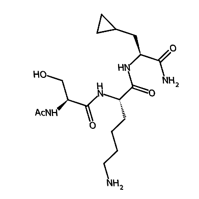 CC(=O)N[C@@H](CO)C(=O)N[C@@H](CCCCN)C(=O)N[C@@H](CC1CC1)C(N)=O